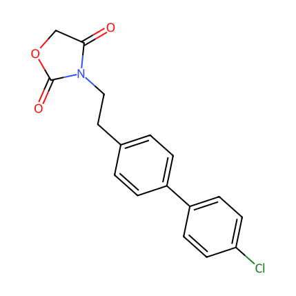 O=C1COC(=O)N1CCc1ccc(-c2ccc(Cl)cc2)cc1